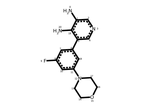 Nc1cncc(-c2cc(F)cc(N3CCOCC3)c2)c1N